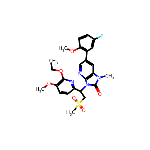 CCOc1nc(C(CS(C)(=O)=O)n2c(=O)n(C)c3cc(-c4cc(F)ccc4OC)cnc32)ccc1OC